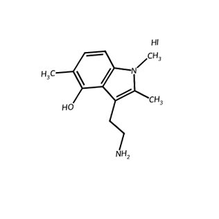 Cc1ccc2c(c1O)c(CCN)c(C)n2C.I